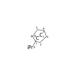 CC(C)C12CCC(CC1)CC2